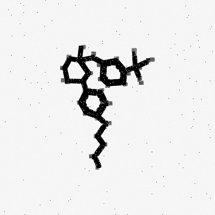 COCCOc1ccc(C2CC(C)(Sc3cccc(C(F)(F)F)c3)CCO2)cn1